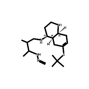 C=NNC(C)C(C)CN[C@H]1CCN[C@H]2CC=C(SC(C)(C)C)C[C@H]21